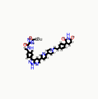 Cc1cc(-c2n[nH]c3ncc(-c4ccc(C5CCN(CCc6ccc(C7CCC(=O)NC7=O)cc6)CC5)nc4)cc23)ccc1C(C)NC(=O)c1noc(C(C)(C)C)n1